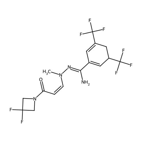 CN(/C=C\C(=O)N1CC(F)(F)C1)/N=C(\N)C1=CC(C(F)(F)F)CC(C(F)(F)F)=C1